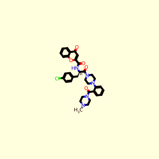 CN1CCN(C(=O)c2ccccc2N2CCN(C(=O)[C@@H](Cc3ccc(Cl)cc3)NC(=O)c3cc(=O)c4ccccc4o3)CC2)CC1